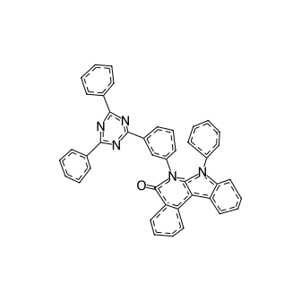 O=c1c2ccccc2c2c3ccccc3n(-c3ccccc3)c2n1-c1cccc(-c2nc(-c3ccccc3)nc(-c3ccccc3)n2)c1